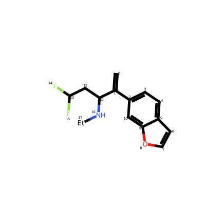 C=C(c1ccc2ccoc2c1)C(CC(F)F)NCC